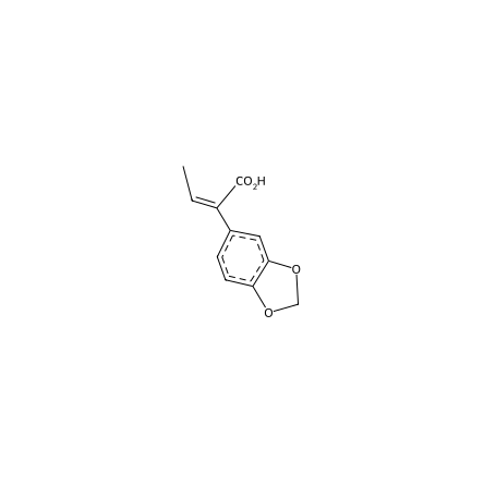 CC=C(C(=O)O)c1ccc2c(c1)OCO2